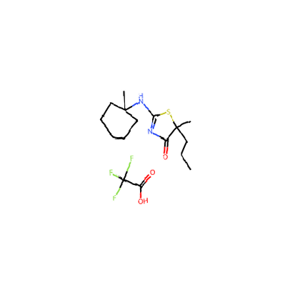 CCCC1(C)SC(NC2(C)CCCCC2)=NC1=O.O=C(O)C(F)(F)F